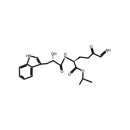 CC(C)OC(=O)[C@H](CCC(=O)C=N)NC(=O)[C@@H](O)Cc1c[nH]c2ccccc12